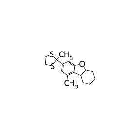 Cc1cc(C2(C)SCCS2)cc2c1C1CCCCC1O2